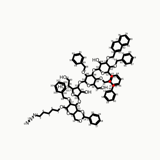 [N-]=[N+]=NCCCCCOC1OC2COC(c3ccccc3)OC2C(OC2OC([C@H](O)CO)C(OC3OC(CO)C(OCc4ccccc4)C(OC4OC(COCc5ccccc5)C(OCc5ccccc5)C(OCc5ccc6ccccc6c5)C4O)C3OCc3ccccc3)C2O)C1OCc1ccccc1